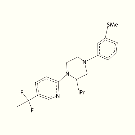 CSc1cccc(N2CCN(c3ccc(C(C)(F)F)cn3)C(C(C)C)C2)c1